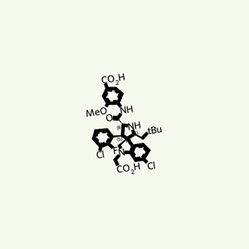 COc1cc(C(=O)O)ccc1NC(=O)[C@@H]1N[C@@H](CC(C)(C)C)[C@@]2(CN(CC(=O)O)c3cc(Cl)ccc32)[C@H]1c1cccc(Cl)c1F